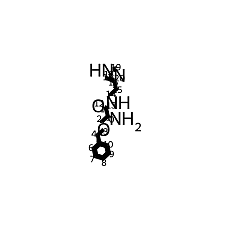 N[C@@H](COCc1ccccc1)C(=O)NCCc1c[nH]cn1